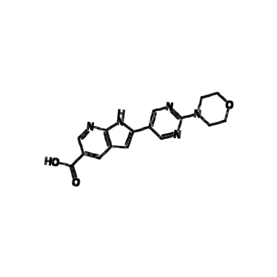 O=C(O)c1cnc2[nH]c(-c3cnc(N4CCOCC4)nc3)cc2c1